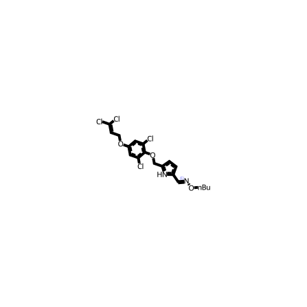 CCCCO/N=C/c1ccc(COc2c(Cl)cc(OCC=C(Cl)Cl)cc2Cl)[nH]1